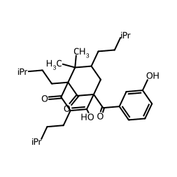 CC(C)CCC1=C(O)C2(C(=O)c3cccc(O)c3)CC(CCC(C)C)C(C)(C)C(CCC(C)C)(C1=O)C2=O